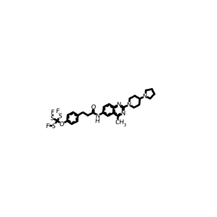 Cc1nc(N2CCC(N3CCCC3)CC2)nc2ccc(NC(=O)CCc3ccc(OC(SF)(SF)SF)cc3)cc12